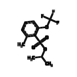 Cc1cccc(OC(F)(F)F)c1S(=O)(=O)OC(C)C